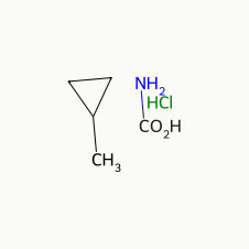 CC1CC1.Cl.NC(=O)O